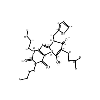 CCCCn1c(=O)c2c(nc3n(Cc4cccs4)c(=O)c(CCC(C)C)c(O)n23)n(CCCC)c1=O